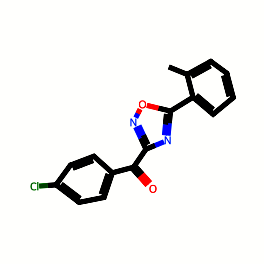 Cc1ccccc1-c1nc(C(=O)c2ccc(Cl)cc2)no1